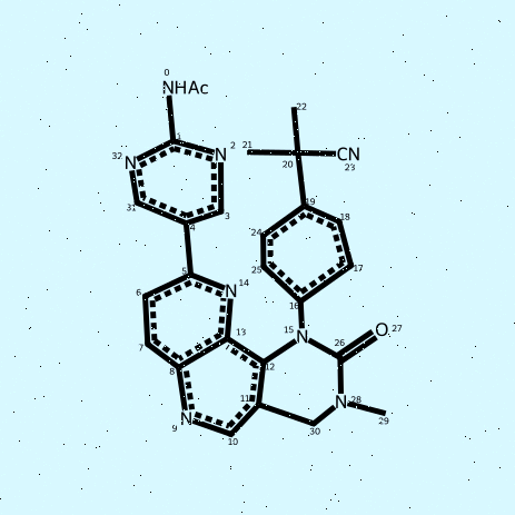 CC(=O)Nc1ncc(-c2ccc3ncc4c(c3n2)N(c2ccc(C(C)(C)C#N)cc2)C(=O)N(C)C4)cn1